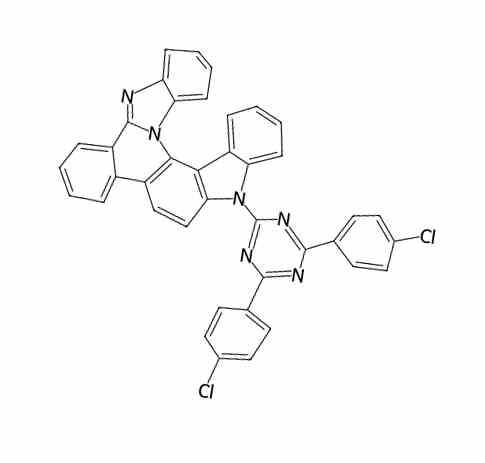 Clc1ccc(-c2nc(-c3ccc(Cl)cc3)nc(-n3c4ccccc4c4c3ccc3c5ccccc5c5nc6ccccc6n5c34)n2)cc1